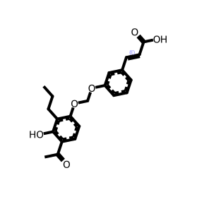 CCCc1c(OCOc2cccc(/C=C/C(=O)O)c2)ccc(C(C)=O)c1O